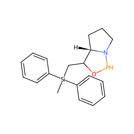 C[Si](CC1OPN2CCC[C@@H]12)(c1ccccc1)c1ccccc1